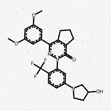 COc1cc(OC)cc(-c2nn(-c3cc(N4CCC(O)C4)ccc3C(F)(F)F)c(=O)c3c2CCC3)c1